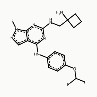 NC1(CNc2nc(Nc3ccc(OC(F)F)cc3)c3cnn(I)c3n2)CCC1